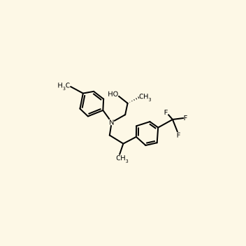 Cc1ccc(N(CC(C)c2ccc(C(F)(F)F)cc2)C[C@@H](C)O)cc1